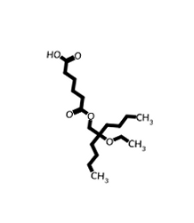 CCCCC(CCCC)(COC(=O)CCCCC(=O)O)OCC